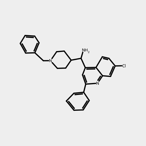 NC(c1cc(-c2ccccc2)nc2cc(Cl)ccc12)C1CCN(Cc2ccccc2)CC1